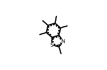 Cc1nc2c(C)c(C)c(C)c(C)c2s1